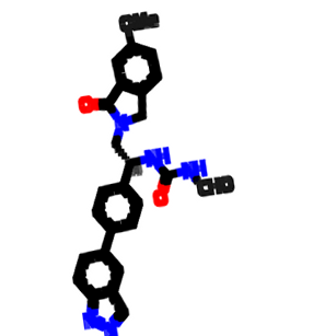 COc1ccc2c(c1)C(=O)N(C[C@H](NC(=O)NC=O)c1ccc(-c3ccc4nn(C)cc4c3)cc1)C2